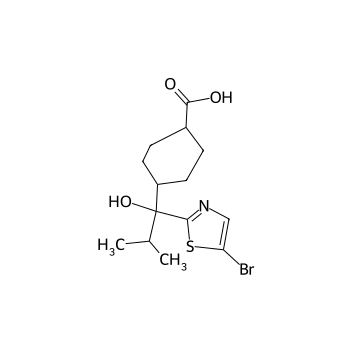 CC(C)C(O)(c1ncc(Br)s1)C1CCC(C(=O)O)CC1